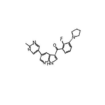 Cc1ncc(-c2cnc3[nH]cc(C(=O)c4cccc(N5CCCC5)c4F)c3c2)cn1